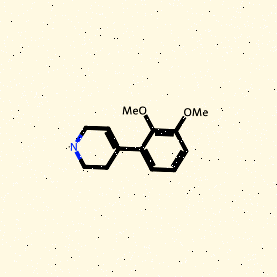 COc1cccc(C2=CC[N]CC2)c1OC